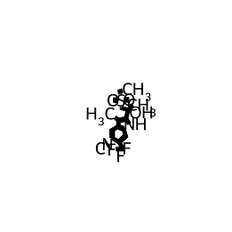 [C-]#[N+]c1cc2c(C)c(C(C)(O)CS(=O)(=O)CC)[nH]c2cc1C(F)(F)F